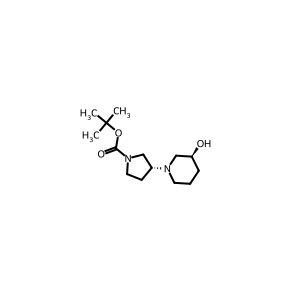 CC(C)(C)OC(=O)N1CC[C@@H](N2CCC[C@H](O)C2)C1